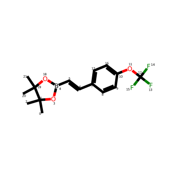 CC1(C)OB(C=Cc2ccc(OC(F)(F)F)cc2)OC1(C)C